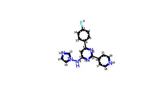 Fc1ccc(-c2cc(Nn3ccnc3)nc(-c3ccncc3)n2)cc1